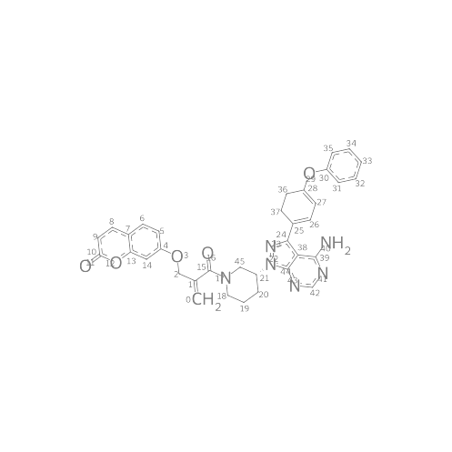 C=C(COc1ccc2ccc(=O)oc2c1)C(=O)N1CCC[C@@H](n2nc(C3=CC=C(Oc4ccccc4)CC3)c3c(N)ncnc32)C1